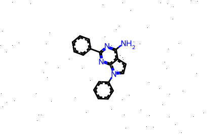 Nc1nc(-c2ccccc2)nc2c1ccn2-c1ccccc1